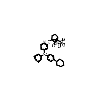 CC12CCC(C(S(=O)(=O)[O-])C1=O)C2(C)C.c1ccc([S+](c2ccccc2)c2ccc(C3CCCCC3)cc2)cc1